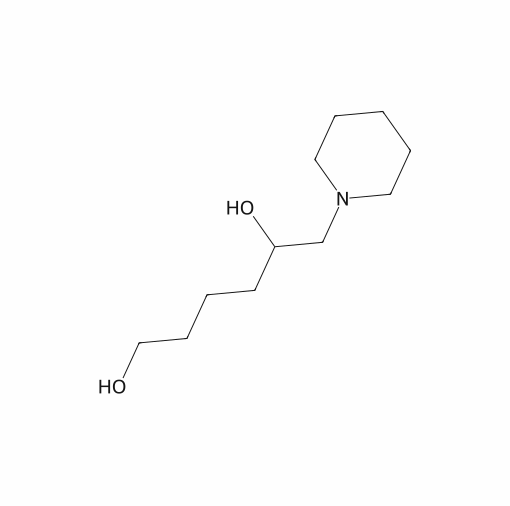 OCCCCC(O)CN1CCCCC1